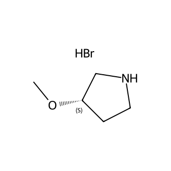 Br.CO[C@H]1CCNC1